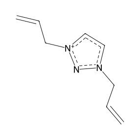 C=CCn1cc[n+](CC=C)n1